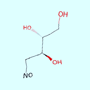 O=NC[C@H](O)[C@H](O)CO